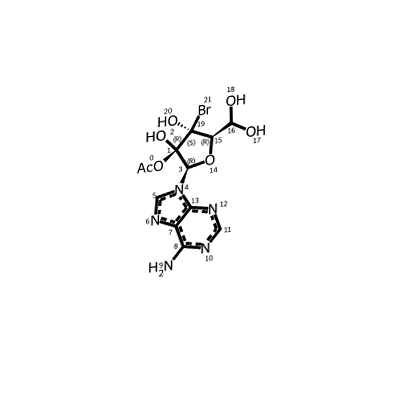 CC(=O)O[C@]1(O)[C@H](n2cnc3c(N)ncnc32)O[C@H](C(O)O)[C@]1(O)Br